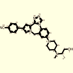 C[C@@H](CO)N(C)C1CCN(c2ccc3c(c2)Cn2cc(-c4ccc(C#N)cc4)cc2-c2nncn2-3)CC1